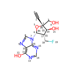 C#C[C@]1(CO)O[C@@H](n2cnc3c(O)ncnc32)[C@@H](CF)[C@@H]1O